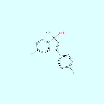 OC(/C=C/c1ccc(F)cc1)(c1ccc(F)cc1)C(F)(F)F